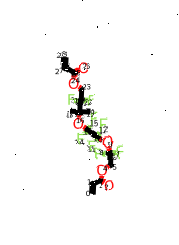 C=CC(=O)OCC(F)(F)OC(F)(F)C(F)(F)OC(C)(C)C(F)(F)COC(=O)C=C